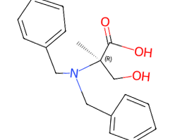 C[C@@](CO)(C(=O)O)N(Cc1ccccc1)Cc1ccccc1